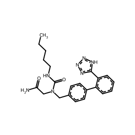 CCCCCNC(=O)N(CC(N)=O)Cc1ccc(-c2ccccc2-c2nnn[nH]2)cc1